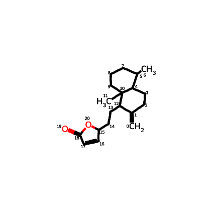 C=C1CCC2C(C)CCCC2(C)C1CCC1C=CC(=O)O1